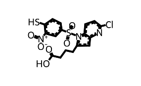 O=C(O)CCCc1cc2nc(Cl)ccc2n1S(=O)(=O)c1ccc(S)c([N+](=O)[O-])c1